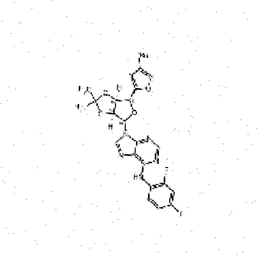 CC1(C)O[C@@H]2[C@H](O1)[C@H](n1cnc3c(Nc4ccc(F)cc4F)ncnc31)O[C@@H]2c1nc(C(C)(C)C)no1